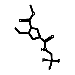 CC[C@@H]1CN(C(=O)NCC(F)(F)F)CC1C(=O)OC